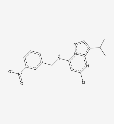 CC(C)c1cnn2c(NCc3cccc([N+](=O)[O-])c3)cc(Cl)nc12